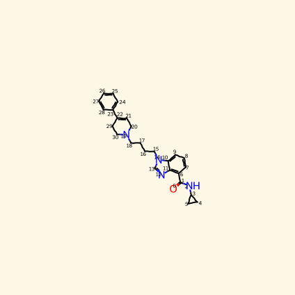 O=C(NC1CC1)c1cccc2c1ncn2CCCCN1CC=C(c2ccccc2)CC1